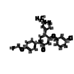 Cn1cc(-c2cn(-c3ccc(OCF)cc3)c(=O)cc2Oc2cccc(Cl)c2)cn1